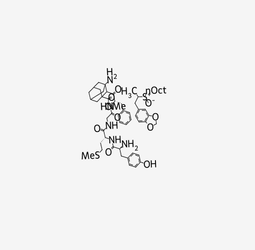 CCCCCCCC[S+]([O-])C(C)Cc1ccc2c(c1)OCO2.COC(=O)C12CC3CC(CC(N)(C3)C1C(=O)[C@H](Cc1ccccc1)NC(=O)CNC(=O)[C@@H](CCSC)NC(=O)[C@@H](N)Cc1ccc(O)cc1)C2